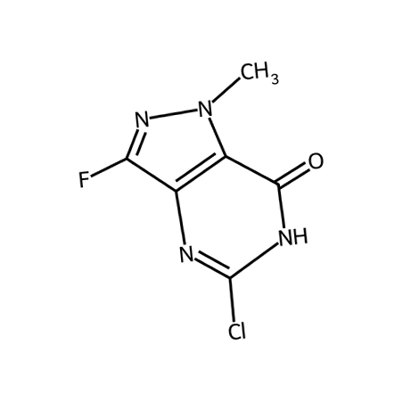 Cn1nc(F)c2nc(Cl)[nH]c(=O)c21